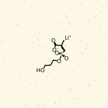 CC(=CS(=O)(=O)OCCCO)C(=O)[O-].[Li+]